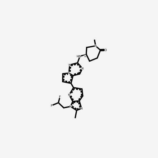 Cc1nc2ccc(-c3ccn4nc(N[C@@H]5CCC(=O)N(C)C5)ncc34)nc2n1CC(F)F